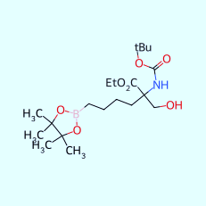 CCOC(=O)C(CO)(CCCCB1OC(C)(C)C(C)(C)O1)NC(=O)OC(C)(C)C